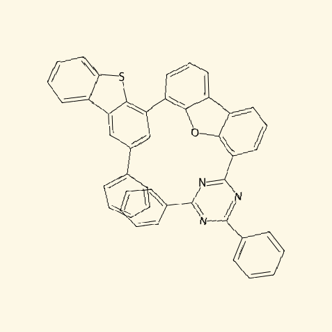 c1ccc(-c2cc(-c3cccc4c3oc3c(-c5nc(-c6ccccc6)nc(-c6ccccc6)n5)cccc34)c3sc4ccccc4c3c2)cc1